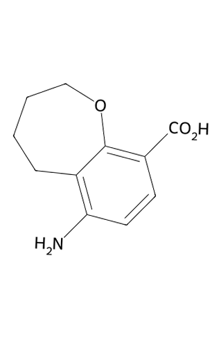 Nc1ccc(C(=O)O)c2c1CCCCO2